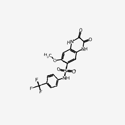 COc1cc2[nH]c(=O)c(=O)[nH]c2cc1S(=O)(=O)Nc1ccc(C(F)(F)F)cc1